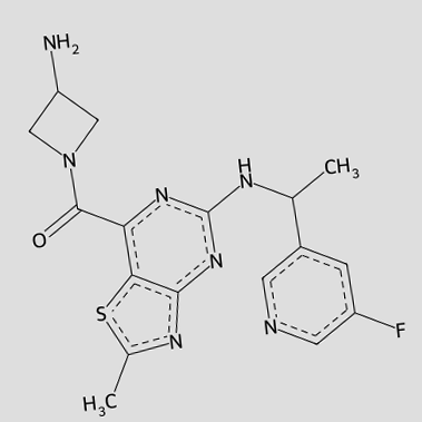 Cc1nc2nc(NC(C)c3cncc(F)c3)nc(C(=O)N3CC(N)C3)c2s1